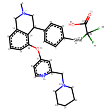 CSc1ccc(C2CN(C)Cc3cccc(Oc4ccnc(CN5CCCCC5)c4)c32)cc1.O=C(O)C(F)(F)F